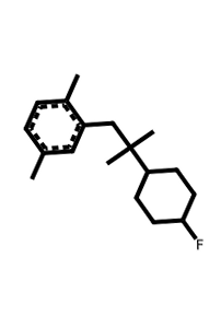 Cc1ccc(C)c(CC(C)(C)C2CCC(F)CC2)c1